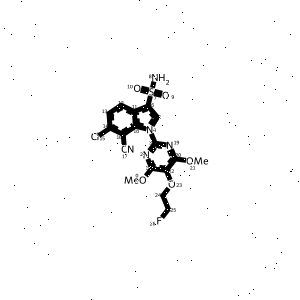 COc1nc(-n2cc(S(N)(=O)=O)c3ccc(Cl)c(C#N)c32)nc(OC)c1OCCF